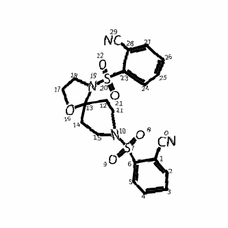 N#Cc1ccccc1S(=O)(=O)N1CCC2(CC1)OCCN2S(=O)(=O)c1ccccc1C#N